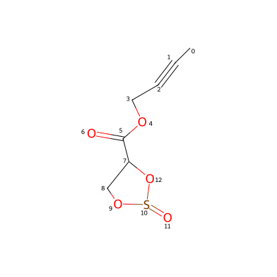 CC#CCOC(=O)C1COS(=O)O1